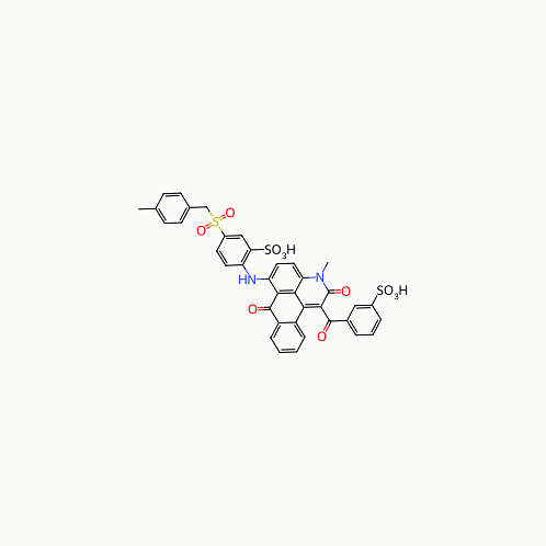 Cc1ccc(CS(=O)(=O)c2ccc(Nc3ccc4c5c3C(=O)c3ccccc3-c5c(C(=O)c3cccc(S(=O)(=O)O)c3)c(=O)n4C)c(S(=O)(=O)O)c2)cc1